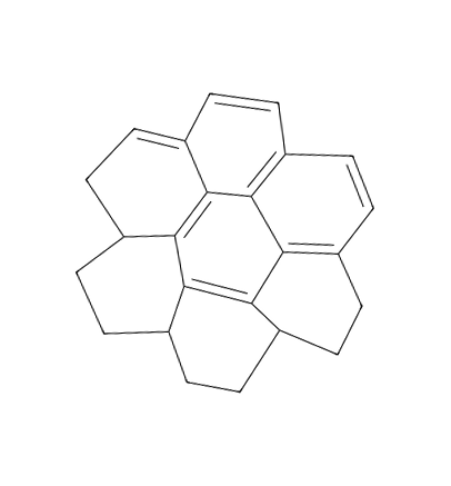 C1=c2ccc3ccc4c5c6c7c(c2c35)C(C1)CCC7CCC6CC4